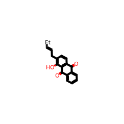 CCC=CCc1ccc2c(c1O)C(=O)c1ccccc1C2=O